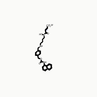 O=C(O)/C=C/C(=O)N(O)CCCCNCc1ccc(COC(=O)Nc2cccc3ccccc23)cc1